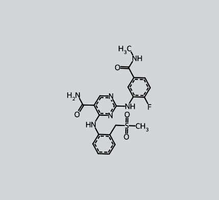 CNC(=O)c1ccc(F)c(Nc2ncc(C(N)=O)c(Nc3ccccc3CS(C)(=O)=O)n2)c1